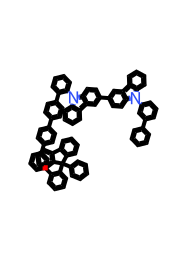 c1ccc(-c2cccc(-n3c4ccccc4c4cc(-c5ccc6c(c5)c5ccccc5n6-c5ccccc5-c5ccc(-c6ccc(-c7cccc(-c8ccccc8C8(c9ccccc9)c9ccccc9-c9ccccc98)c7)cc6)cc5)ccc43)c2)cc1